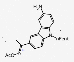 CCCCCn1c2ccc(N)cc2c2cc(/C(C)=N/OC(C)=O)ccc21